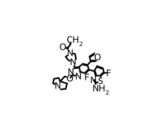 C=CC(=O)N1CCN(c2nc(OCC34CCCN3CCC4)nc3c(F)c(-c4ccc(F)c5sc(N)nc45)c(-c4ccoc4)cc23)CC1